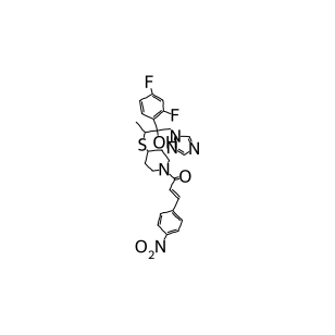 CC(SC1CCN(C(=O)C=Cc2ccc([N+](=O)[O-])cc2)CC1)C(O)(Cn1cncn1)c1ccc(F)cc1F